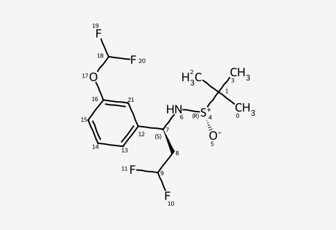 CC(C)(C)[S@+]([O-])N[C@@H](CC(F)F)c1cccc(OC(F)F)c1